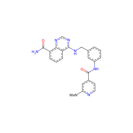 CNc1cc(C(=O)Nc2cccc(CNc3ncnc4c(C(N)=O)cccc34)c2)ccn1